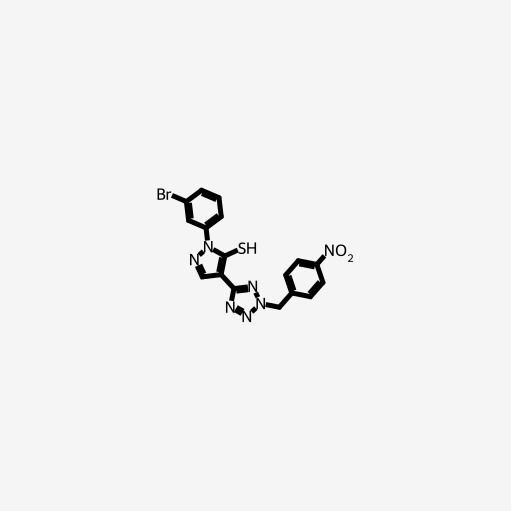 O=[N+]([O-])c1ccc(Cn2nnc(-c3cnn(-c4cccc(Br)c4)c3S)n2)cc1